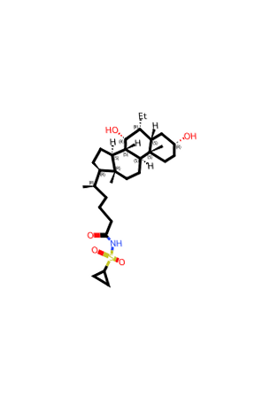 CC[C@H]1[C@@H](O)[C@@H]2[C@H](CC[C@]3(C)[C@@H]([C@H](C)CCCC(=O)NS(=O)(=O)C4CC4)CC[C@@H]23)[C@@]2(C)CC[C@@H](O)C[C@@H]12